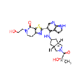 C[C@H](O)C(=O)N1C[C@H]2CC(Nc3c(-c4nc5c(s4)C(=O)N(CCO)CC5)cnc4[nH]ccc34)C[C@H]2C1